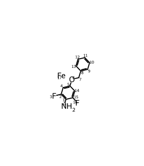 Nc1c(F)cc(OCc2ccccc2)cc1F.[Fe]